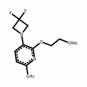 COCCOc1nc(OC(C)=O)ccc1N1CC(F)(F)C1